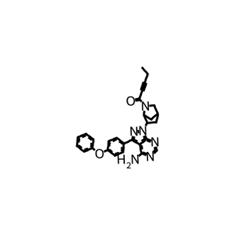 CCC#CC(=O)N1CC2CC1C(n1nc(-c3ccc(Oc4ccccc4)cc3)c3c(N)ncnc31)C2